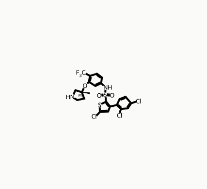 C[C@@]1(Oc2cc(NS(=O)(=O)c3sc(Cl)cc3-c3ccc(Cl)cc3Cl)ccc2C(F)(F)F)CCNC1